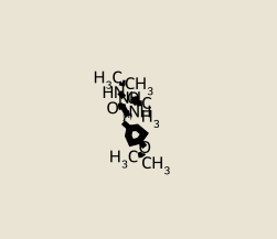 CC(=O)N[C@H](Cc1ccc(OC(C)C)cc1)C(=O)NNC(C)C